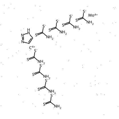 NC(=S)[S-].NC(=S)[S-].NC(=S)[S-].NC(=S)[S-].NC(=S)[S-].NC(=S)[S-].NC(=S)[S-].NC(=S)[S-].[C+4].[Mo+4].c1c[nH]nn1